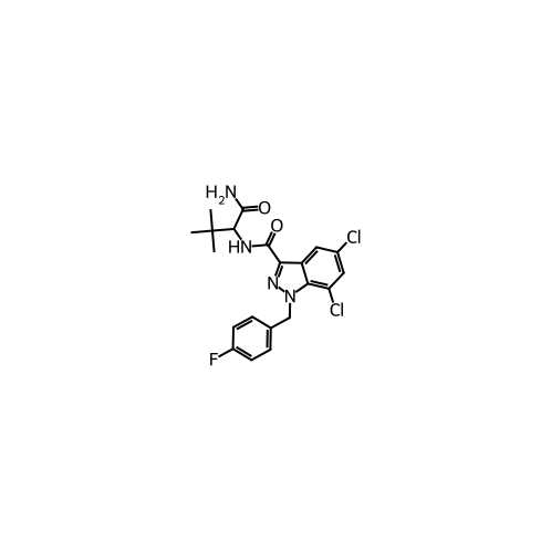 CC(C)(C)C(NC(=O)c1nn(Cc2ccc(F)cc2)c2c(Cl)cc(Cl)cc12)C(N)=O